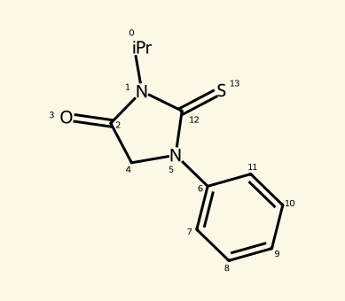 CC(C)N1C(=O)CN(c2ccccc2)C1=S